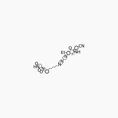 CCc1cc2c(cc1N1CCC(N3CCN(CCCCCCc4cccc5c4CN(C4CCC(=O)NC4=O)C5=O)CC3)CC1)C(C)(C)c1[nH]c3cc(C#N)ccc3c1C2=O